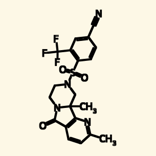 Cc1ccc2c(n1)C1(C)CN(S(=O)(=O)c3ccc(C#N)cc3C(F)(F)F)CCN1C2=O